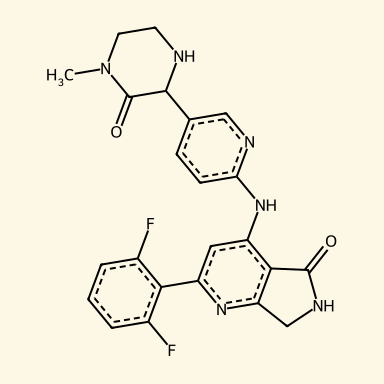 CN1CCNC(c2ccc(Nc3cc(-c4c(F)cccc4F)nc4c3C(=O)NC4)nc2)C1=O